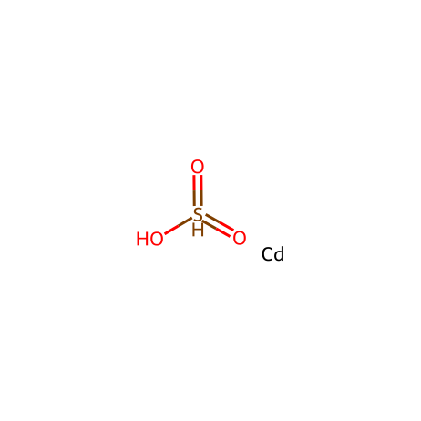 O=[SH](=O)O.[Cd]